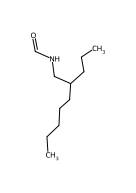 CCCCCC(CCC)CNC=O